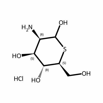 Cl.N[C@H]1C(O)S[C@@H](CO)[C@H](O)[C@H]1O